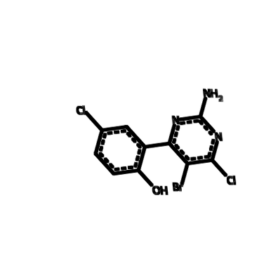 Nc1nc(Cl)c(Br)c(-c2cc(Cl)ccc2O)n1